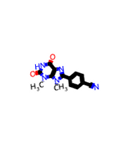 Cn1c(-c2ccc(C#N)cc2)nc2c(=O)[nH]c(=O)n(C)c21